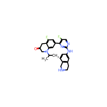 CC(C)N1CC(=O)Cc2c(F)cc(-c3nc(Nc4ccc5c(c4)CCNC5)ncc3F)cc21